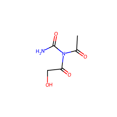 CC(=O)N(C(N)=O)C(=O)CO